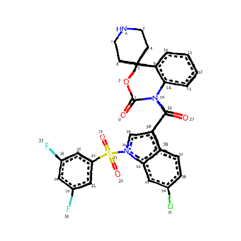 O=C1OC2(CCNCC2)c2ccccc2N1C(=O)c1cn(S(=O)(=O)c2cc(F)cc(F)c2)c2cc(Cl)ccc12